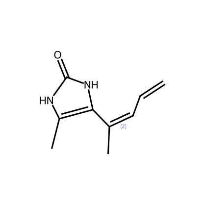 C=C/C=C(/C)c1[nH]c(=O)[nH]c1C